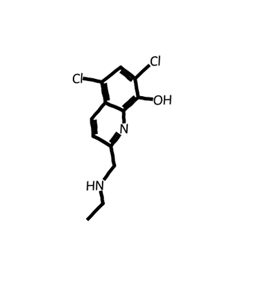 CCNCc1ccc2c(Cl)cc(Cl)c(O)c2n1